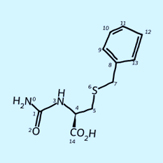 NC(=O)N[C@@H](CSCc1ccccc1)C(=O)O